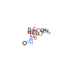 CC1=CCC[C@H]2[C@](C)(CC3=C(O)C(=O)C=C(NCCc4ccccc4)C3=O)[C@@H](C)CC[C@]12C